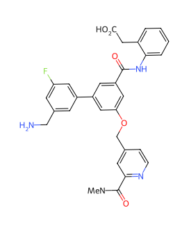 CNC(=O)c1cc(COc2cc(C(=O)Nc3ccccc3CC(=O)O)cc(-c3cc(F)cc(CN)c3)c2)ccn1